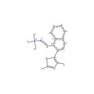 CC1=CC(C)=C(c2ccc3ccccc3c2C=NC(C)(C)C)C1